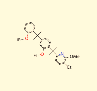 CCOc1cc(C(C)(C)c2ccccc2OC(C)C)ccc1C(C)(C)c1ccc(CC)c(OC)n1